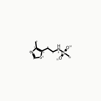 Cc1ncsc1CCNS(C)(=O)=O